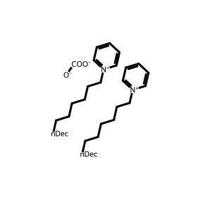 CCCCCCCCCCCCCCCC[n+]1ccccc1.CCCCCCCCCCCCCCCC[n+]1ccccc1.O=C([O-])[O-]